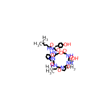 CC(C)CCCC(=O)N[C@@H](Cc1ccc(O)cc1)C(=O)N[C@@H]1COC(=O)CNC(=O)[C@H](C(C)O)NC(=O)[C@@H]2CCCN2C(=O)[C@@H](CC(C)C)NC(=O)[C@H](Cc2ccccc2)NC1=O